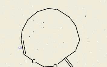 O=C1CCCCCCCCC/C=C\CCO1